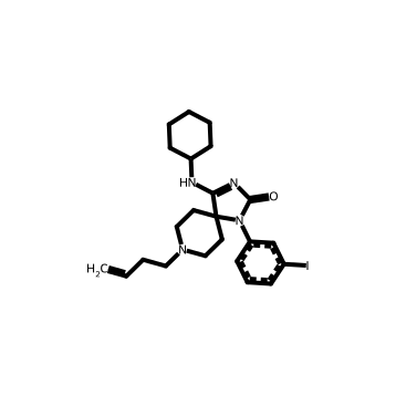 C=CCCN1CCC2(CC1)C(NC1CCCCC1)=NC(=O)N2c1cccc(I)c1